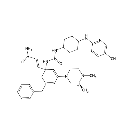 C[C@H]1CN(C2=CC(C=CC(N)=O)(NC(=O)NC3CCC(Nc4ccc(C#N)cn4)CC3)CC(Cc3ccccc3)=C2)CCN1C